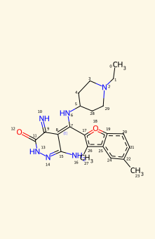 CCN1CCC(N/C(=C2\C(=N)C(=O)NN=C2N)c2oc3ccc(C)cc3c2C)CC1